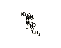 CCc1cc(C)cc(CC)c1NC(=O)NCc1ccnc(-n2[nH]cc(-c3cccnc3)c2=O)c1